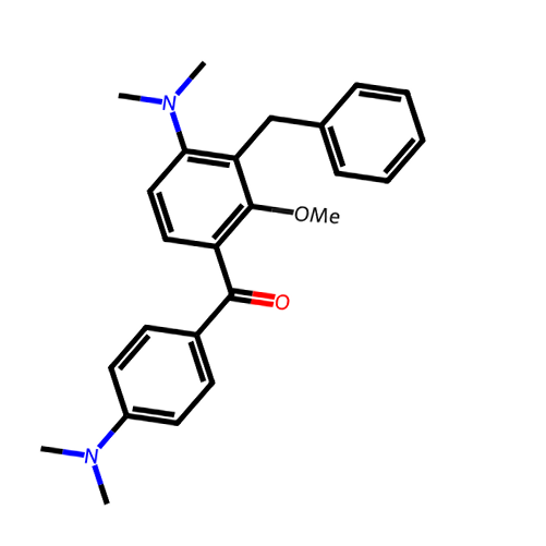 COc1c(C(=O)c2ccc(N(C)C)cc2)ccc(N(C)C)c1Cc1ccccc1